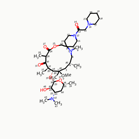 CO[C@]1(C)C[C@@H](C)CN(C)C2(CCN(C(=O)CN3CCCCC3)CC2)COC(=O)C(C)C(=O)[C@H](C)[C@H]1O[C@@H]1O[C@H](C)C[C@H](N(C)C)[C@H]1O